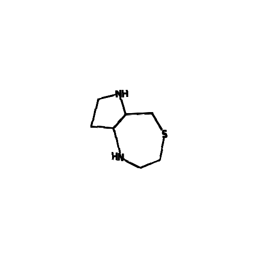 C1CSCC2NCCC2N1